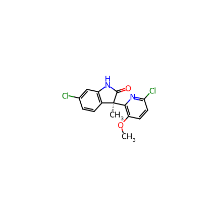 COc1ccc(Cl)nc1[C@]1(C)C(=O)Nc2cc(Cl)ccc21